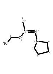 N#CCO/[N+]([O-])=N\N1CCCC1